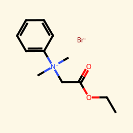 CCOC(=O)C[N+](C)(C)c1ccccc1.[Br-]